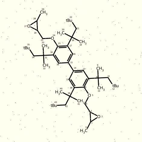 CC1OC1COc1c(C(C)(C)CC(C)(C)C)cc(-c2cc(C(C)(C)CC(C)(C)C)c(OCC3OC3C)c(C(C)(C)CC(C)(C)C)c2)cc1C(C)(C)CC(C)(C)C